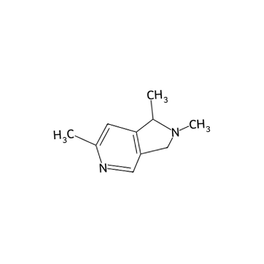 Cc1cc2c(cn1)CN(C)C2C